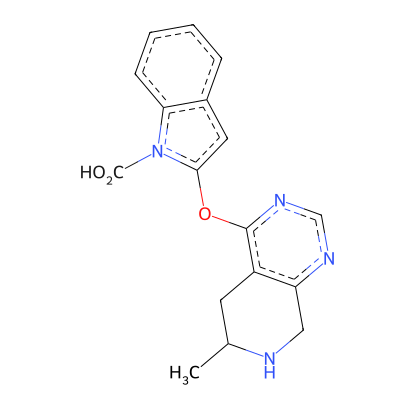 CC1Cc2c(ncnc2Oc2cc3ccccc3n2C(=O)O)CN1